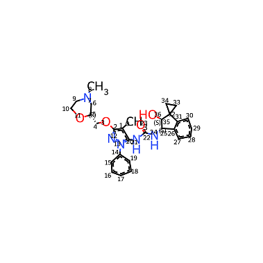 Cc1c(OC[C@H]2CN(C)CCO2)nn(-c2ccccc2)c1NC(=O)N[C@H]1c2ccccc2C2(CC2)[C@@H]1O